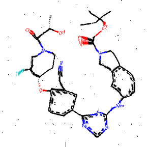 C[C@H](O)C(=O)N1CC[C@H](Oc2ccc(-c3ncnc(Nc4ccc5c(c4)CN(C(=O)OC(C)(C)C)C5)n3)cc2C#N)[C@@H](F)C1